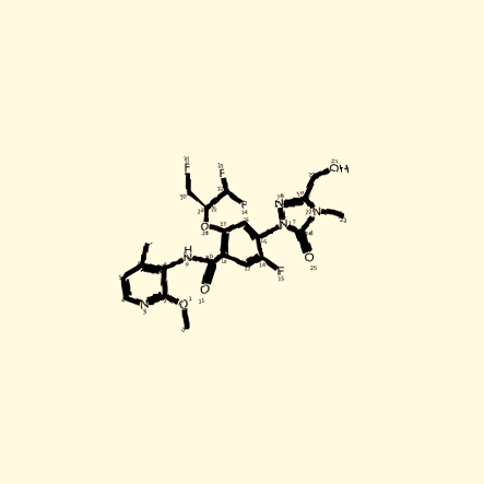 COc1nccc(C)c1NC(=O)c1cc(F)c(-n2nc(CO)n(C)c2=O)cc1O[C@@H](CF)C(F)F